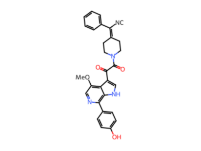 [C-]#[N+]C(=C1CCN(C(=O)C(=O)c2c[nH]c3c(-c4ccc(O)cc4)ncc(OC)c23)CC1)c1ccccc1